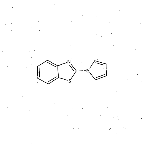 C1=C[SH](c2nc3ccccc3s2)C=C1